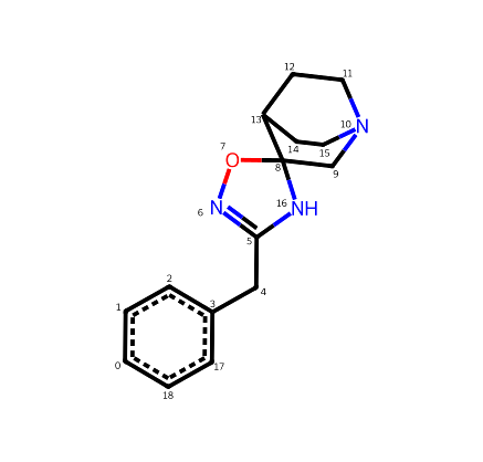 c1ccc(CC2=NOC3(CN4CCC3CC4)N2)cc1